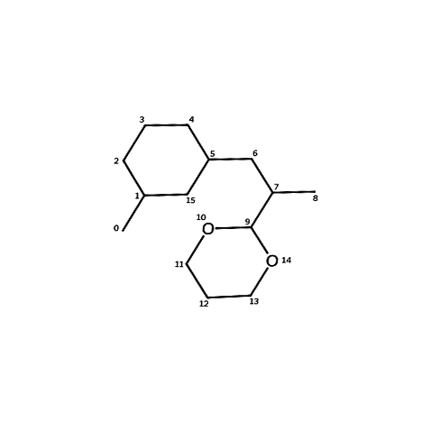 CC1CCCC(CC(C)C2OCCCO2)C1